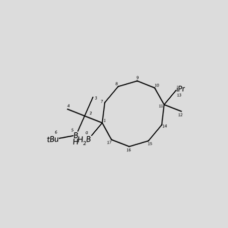 BC1(C(C)(C)BC(C)(C)C)CCCCC(C)(C(C)C)CCCC1